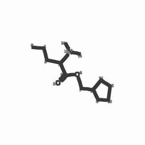 CCCC(C(=O)OCC1CCCC1)N(C)C